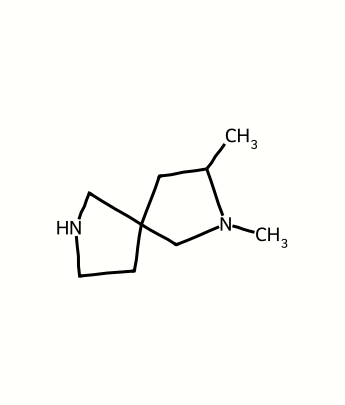 CC1CC2(CCNC2)CN1C